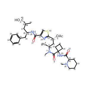 CC(=O)O[C@H](C[C@H](C(C)C)N(C)C(=O)C1(NC(=O)[C@H]2CCCCN2C)CCC1)c1nc(C(=O)N[C@@H](Cc2ccccc2)C[C@H](C)C(=O)O)cs1